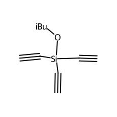 C#C[Si](C#C)(C#C)OC(C)CC